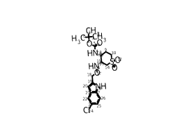 CC(C)(C)OC(=O)N[C@@H]1CCS(=O)(=O)C[C@@H]1NOCc1cc2cc(Cl)ccc2[nH]1